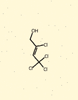 OCC(Cl)=CC(Cl)(Cl)Cl